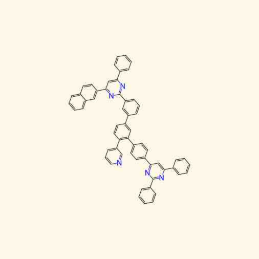 c1ccc(-c2cc(-c3ccc(-c4cc(-c5cccc(-c6nc(-c7ccccc7)cc(-c7ccc8ccccc8c7)n6)c5)ccc4-c4cccnc4)cc3)nc(-c3ccccc3)n2)cc1